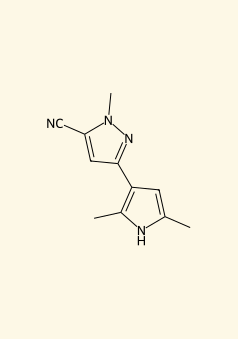 Cc1cc(-c2cc(C#N)n(C)n2)c(C)[nH]1